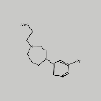 COCCN1CCCN(c2cncc(C(C)C)c2)CC1